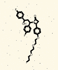 O=C1CC(c2ccc(OCCOCCOCCI)cc2)N1C(CC(O)c1ccc(F)cc1)c1ccc(F)cc1